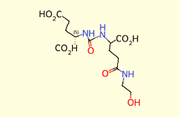 O=C(O)CC[C@H](NC(=O)NC(CCC(=O)NCCO)C(=O)O)C(=O)O